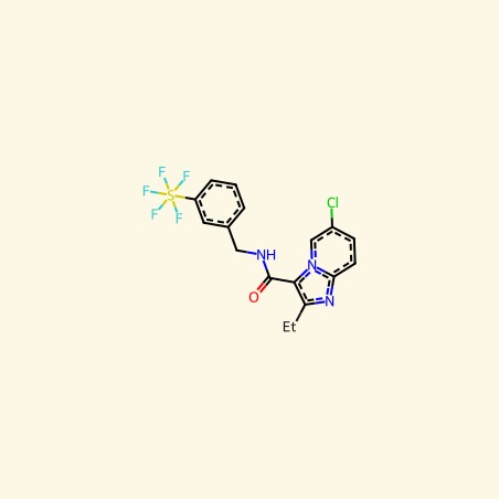 CCc1nc2ccc(Cl)cn2c1C(=O)NCc1cccc(S(F)(F)(F)(F)F)c1